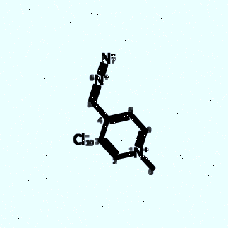 C[n+]1ccc(C=[N+]=[N-])cc1.[Cl-]